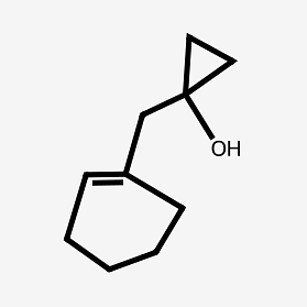 OC1(CC2=CCCCC2)CC1